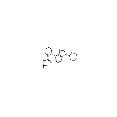 CC(C)(C)OC(=O)N1CCCC=C1c1cccc2c1ncn2C1CCCCO1